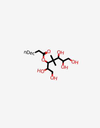 CCCCCCCCCCCC(=O)OC(C(O)CO)C(C)(C)C(O)C(O)CO